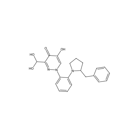 O=c1c(O)cn(-c2ccccc2N2CCCC2Cc2ccccc2)nc1C(O)O